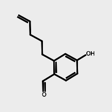 C=CCCCc1cc(O)ccc1C=O